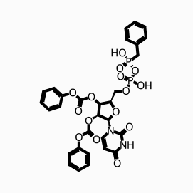 O=C(Oc1ccccc1)OC1[C@@H](COP(=O)(O)OP(=O)(O)Cc2ccccc2)O[C@@H](n2ccc(=O)[nH]c2=O)[C@H]1OC(=O)Oc1ccccc1